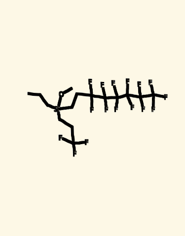 CCC[Si](CCC(F)(F)F)(CCC(F)(F)C(F)(F)C(F)(F)C(F)(F)C(F)(F)C(F)(F)F)OC